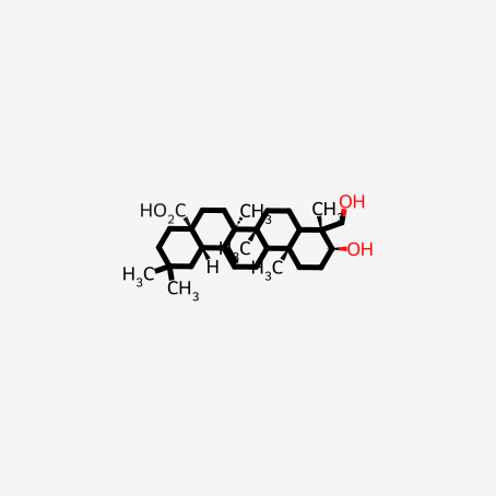 CC1(C)CC[C@]2(C(=O)O)CC[C@]3(C)C(=CCC4[C@@]5(C)CC[C@H](O)[C@@](C)(CO)C5CC[C@]43C)[C@@H]2C1